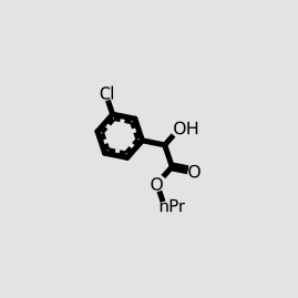 CCCOC(=O)C(O)c1cccc(Cl)c1